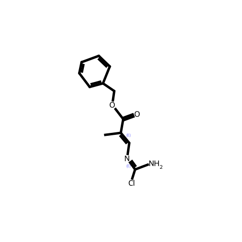 C/C(=C\N=C(/N)Cl)C(=O)OCc1ccccc1